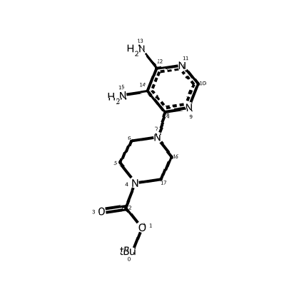 CC(C)(C)OC(=O)N1CCN(c2ncnc(N)c2N)CC1